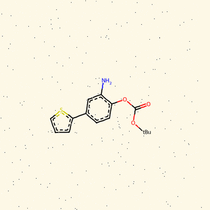 CC(C)(C)OC(=O)Oc1ccc(-c2cccs2)cc1N